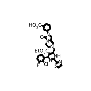 CCOC(=O)C1=C(CN2C=C3CN(c4cccc(C(=O)O)c4)C(=O)N3CC2)NC(c2nccs2)=NC1c1cccc(F)c1Cl